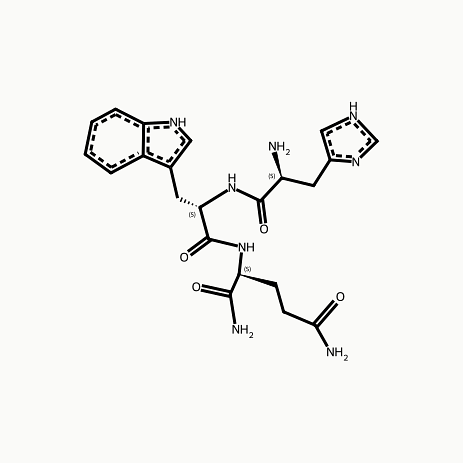 NC(=O)CC[C@H](NC(=O)[C@H](Cc1c[nH]c2ccccc12)NC(=O)[C@@H](N)Cc1c[nH]cn1)C(N)=O